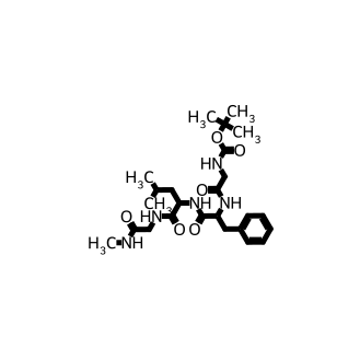 CNC(=O)CNC(=O)C(CC(C)C)NC(=O)C(Cc1ccccc1)NC(=O)CNC(=O)OC(C)(C)C